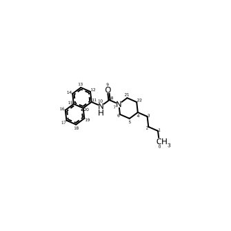 CCCCC1CCN(C(=O)Nc2cccc3ccccc23)CC1